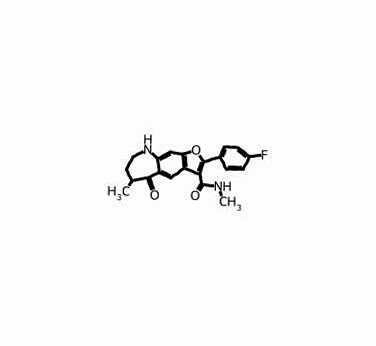 CNC(=O)c1c(-c2ccc(F)cc2)oc2cc3c(cc12)C(=O)C(C)CCN3